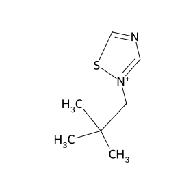 CC(C)(C)C[n+]1cncs1